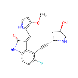 COc1cc[nH]c1/C=C1\C(=O)Nc2ccc(F)c(C#C[C@@H]3C[C@@H](O)CN3)c21